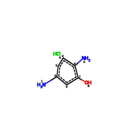 Cl.Nc1ccc(N)c(O)c1